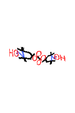 CC1(OC(=O)C(=O)OC2(C)CC(C)(C)N(O)C(C)(C)C2)CC(C)(C)N(O)C(C)(C)C1